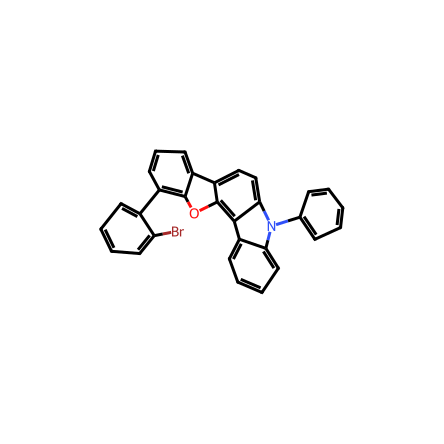 Brc1ccccc1-c1cccc2c1oc1c2ccc2c1c1ccccc1n2-c1ccccc1